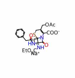 CCOC(=O)N[C@@]1(NC(=O)Cc2ccccc2)C(=O)N2C(C(=O)[O-])=C(COC(C)=O)CS[C@@H]21.[Na+]